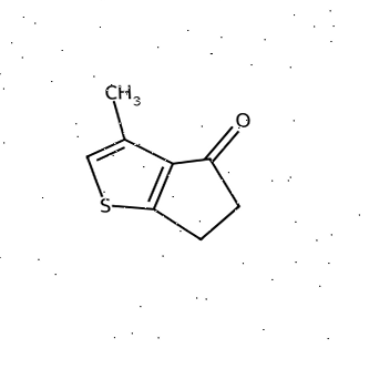 Cc1csc2c1C(=O)CC2